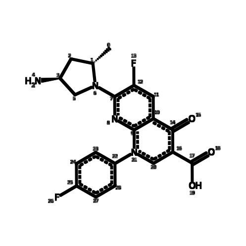 C[C@H]1C[C@H](N)CN1c1nc2c(cc1F)c(=O)c(C(=O)O)cn2-c1ccc(F)cc1